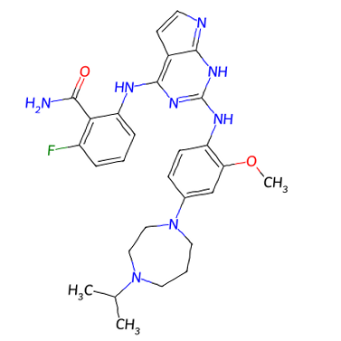 COc1cc(N2CCCN(C(C)C)CC2)ccc1Nc1nc(Nc2cccc(F)c2C(N)=O)c2ccnc-2[nH]1